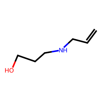 C=CCNCCCO